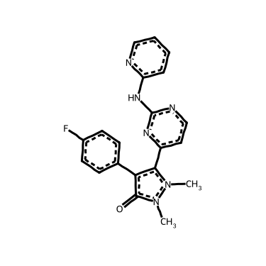 Cn1c(-c2ccnc(Nc3ccccn3)n2)c(-c2ccc(F)cc2)c(=O)n1C